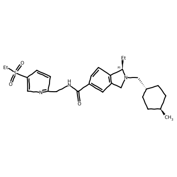 CC[C@@H]1c2ccc(C(=O)NCc3ccc(S(=O)(=O)CC)cn3)cc2CN1C[C@H]1CC[C@H](C)CC1